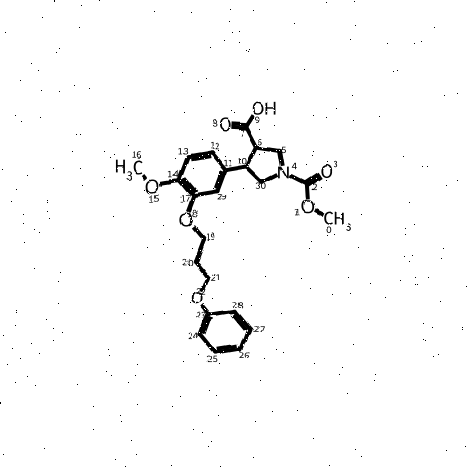 COC(=O)N1CC(C(=O)O)C(c2ccc(OC)c(OCCCOc3ccccc3)c2)C1